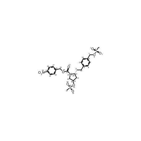 CS(=O)(=O)OCc1ccc(CC[C@@H]2C[C@@H](OS(C)(=O)=O)CN2C(=O)OCc2ccc([N+](=O)[O-])cc2)cc1